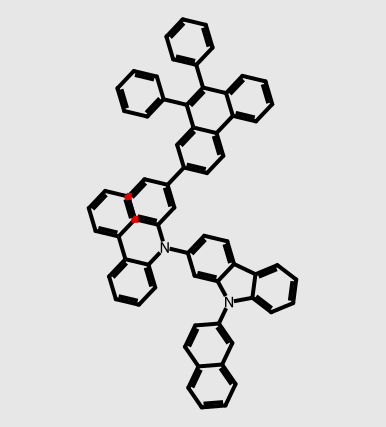 c1ccc(-c2ccccc2N(c2cccc(-c3ccc4c(c3)c(-c3ccccc3)c(-c3ccccc3)c3ccccc34)c2)c2ccc3c4ccccc4n(-c4ccc5ccccc5c4)c3c2)cc1